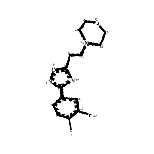 Fc1ccc(-c2noc(CCN3CCOCC3)n2)cc1F